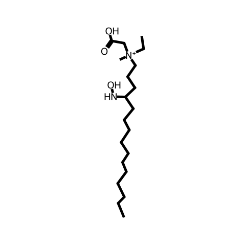 CCCCCCCCCCCC(CCC[N+](C)(CC)CC(=O)O)NO